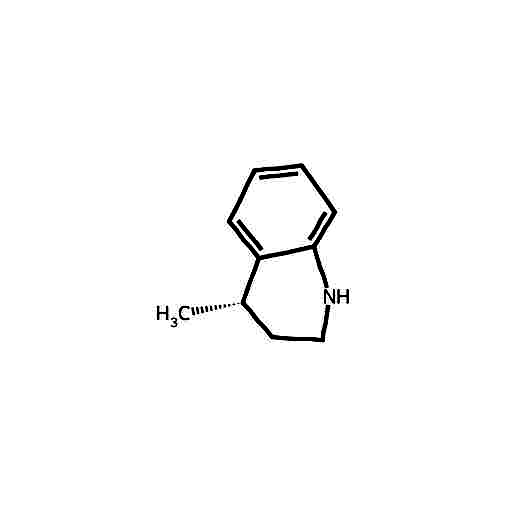 C[C@H]1CCNc2ccccc21